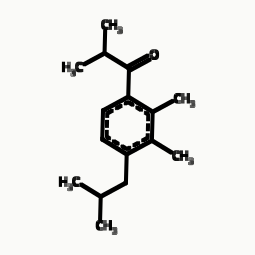 Cc1c(CC(C)C)ccc(C(=O)C(C)C)c1C